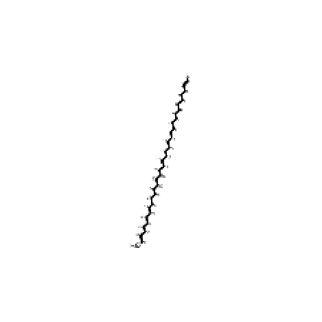 CCC=CCCCCCCCCCC=CCCCCCCCCCCCCCCCCCCCCCCO